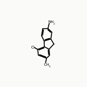 Cc1cc(Cl)c2c(c1)[CH]c1cc(N)ccc1-2